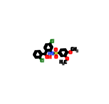 COc1ccc(S(=O)(=O)Nc2cc(Cl)ccc2C(O)c2ccccc2Cl)cc1OC